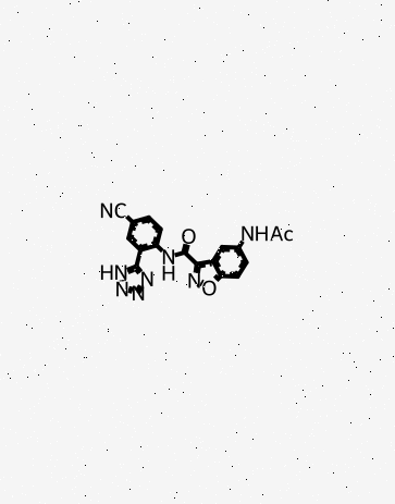 CC(=O)Nc1ccc2onc(C(=O)Nc3ccc(C#N)cc3-c3nnn[nH]3)c2c1